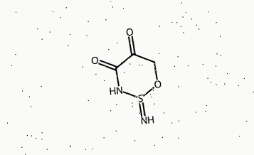 N=S1NC(=O)C(=O)CO1